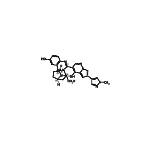 Cn1cc(-c2cc3c(N[C@@H]4C[C@H]5CC[C@@H](C4)N5CC(=O)O)c(/C(N)=N/c4ccc(O)cc4Cl)cnn3c2)cn1